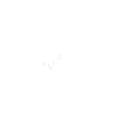 [Ag].[Pd].[Pt].[Ti].[W]